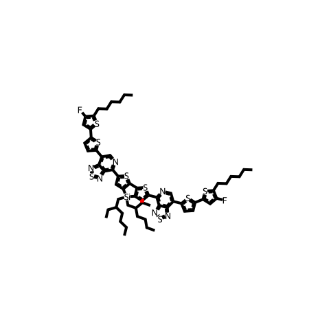 CCCCCCc1sc(-c2ccc(-c3cnc(-c4cc5c(s4)-c4sc(-c6ncc(-c7ccc(-c8cc(F)c(CCCCCC)s8)s7)c7nsnc67)cc4[Si]5(CC(CC)CCCC)CC(CC)CCCC)c4nsnc34)s2)cc1F